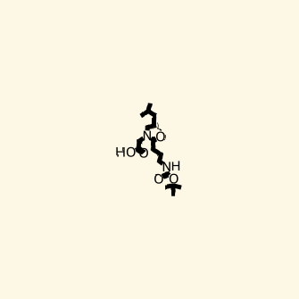 CC(C)C[C@H](C)CN(CC(=O)O)C(=O)CCCNC(=O)OC(C)(C)C